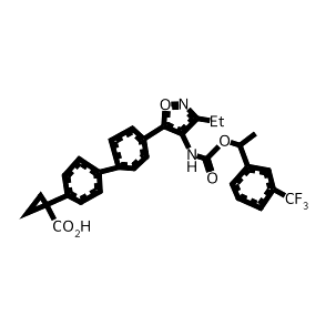 CCc1noc(-c2ccc(-c3ccc(C4(C(=O)O)CC4)cc3)cc2)c1NC(=O)OC(C)c1cccc(C(F)(F)F)c1